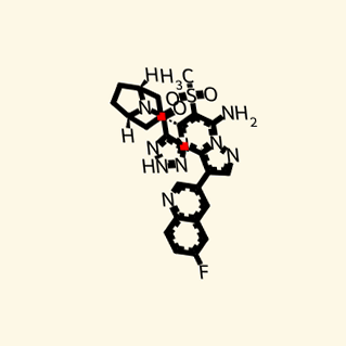 CS(=O)(=O)c1c([C@H]2C[C@H]3CC[C@@H](C2)N3C(=O)c2cn[nH]n2)nc2c(-c3cnc4ccc(F)cc4c3)cnn2c1N